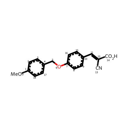 COc1ccc(COc2ccc(/C=C(\C#N)C(=O)O)cc2)cc1